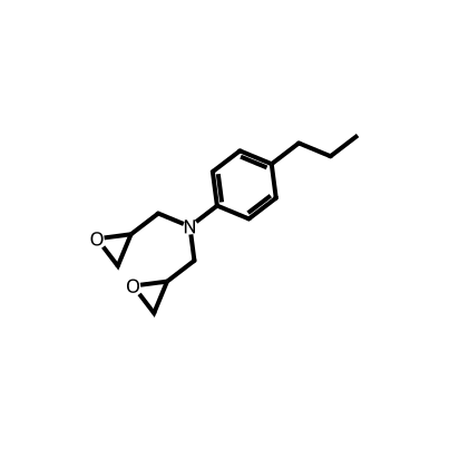 CCCc1ccc(N(CC2CO2)CC2CO2)cc1